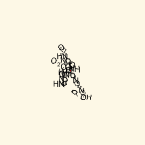 Cc1ccccc1[C@H]1C[C@@](C)(O)CCN1C1CC2(CCN(c3ccc(C(=O)NS(=O)(=O)c4ccc(NCC5CCOCC5)c([N+](=O)[O-])c4)c(N4c5cc6cc[nH]c6nc5O[C@H]5COCC[C@@H]54)c3)CC2)C1